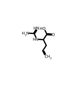 C=CCC(NC(=N)N)C(=O)O